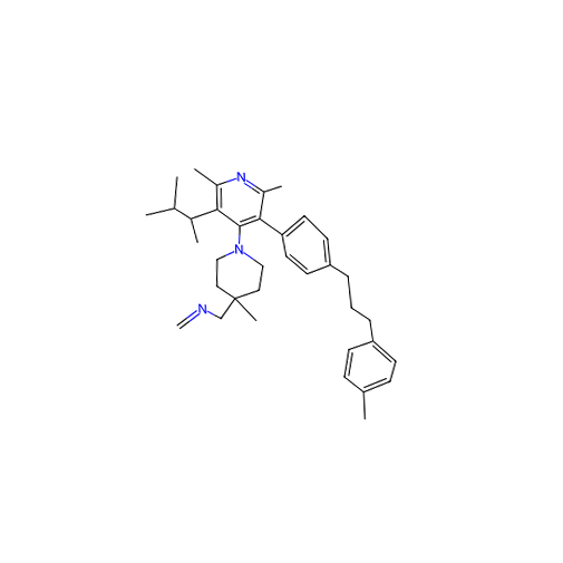 C=NCC1(C)CCN(c2c(-c3ccc(CCCc4ccc(C)cc4)cc3)c(C)nc(C)c2C(C)C(C)C)CC1